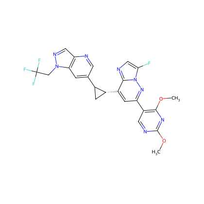 COc1ncc(-c2cc([C@@H]3CC3c3cnc4cnn(CC(F)(F)F)c4c3)c3ncc(F)n3n2)c(OC)n1